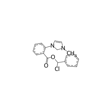 CN1C=CN(c2ccccc2C(=O)OC(Cl)c2ccccc2)C1